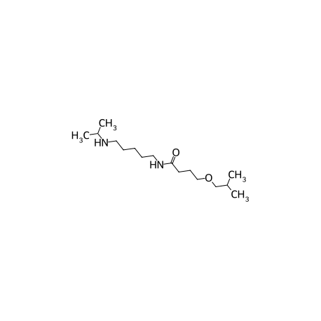 CC(C)COCCCC(=O)NCCCCCNC(C)C